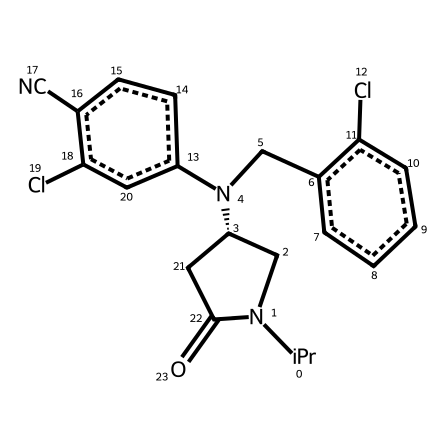 CC(C)N1C[C@@H](N(Cc2ccccc2Cl)c2ccc(C#N)c(Cl)c2)CC1=O